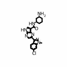 Cn1nc(-c2cnc3[nH]cc(C(=O)N[C@@H]4CCC[C@H](N)C4)c3n2)c2ccc(Cl)cc21